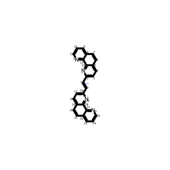 C(=C\c1ccc2ccc3cccnc3c2n1)/c1ccc2ccc3cccnc3c2n1